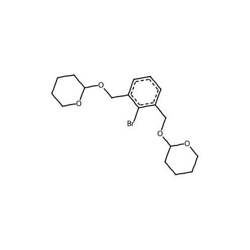 Brc1c(COC2CCCCO2)cccc1COC1CCCCO1